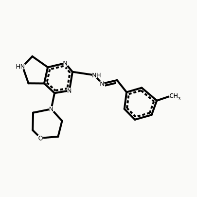 Cc1cccc(/C=N/Nc2nc3c(c(N4CCOCC4)n2)CNC3)c1